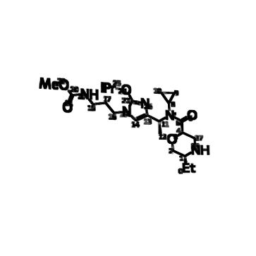 CC[C@H]1CO[C@@H](C(=O)N(C2CC2)[C@@H](C)c2cn(CCCNC(=O)OC)c(OC(C)C)n2)CN1